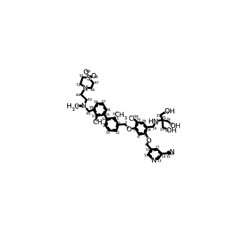 Cc1c(COc2cc(OCc3cncc(C#N)c3)c(CNC(CO)(CO)CO)cc2Cl)cccc1-c1cccc(CN(C)CCN2CCS(=O)(=O)CC2)c1C